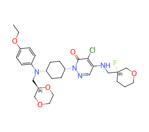 CCOc1ccc(N(C[C@@H]2COCCO2)[C@H]2CC[C@@H](n3ncc(NC[C@]4(F)CCCOC4)c(Cl)c3=O)CC2)cc1